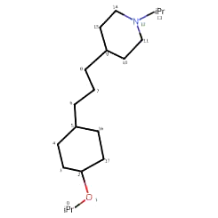 CC(C)OC1CCC(CCCC2CCN(C(C)C)CC2)CC1